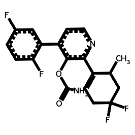 CC1CC(F)(F)CC=C1c1nccc(-c2cc(F)ccc2F)c1OC(N)=O